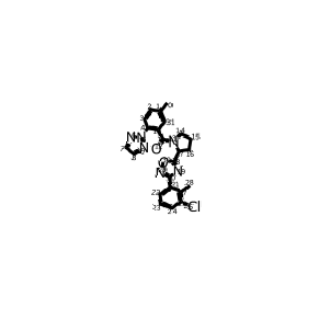 Cc1ccc(-n2nccn2)c(C(=O)N2CCCC2c2nc(-c3cccc(Cl)c3C)no2)c1